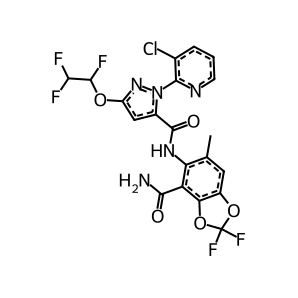 Cc1cc2c(c(C(N)=O)c1NC(=O)c1cc(OC(F)C(F)F)nn1-c1ncccc1Cl)OC(F)(F)O2